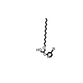 CCCCCCCCCCCCCCOCC(CO)Oc1cc(C#N)ccn1